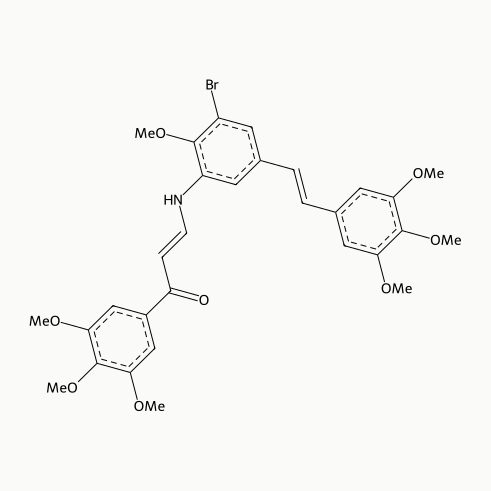 COc1cc(C=Cc2cc(Br)c(OC)c(NC=CC(=O)c3cc(OC)c(OC)c(OC)c3)c2)cc(OC)c1OC